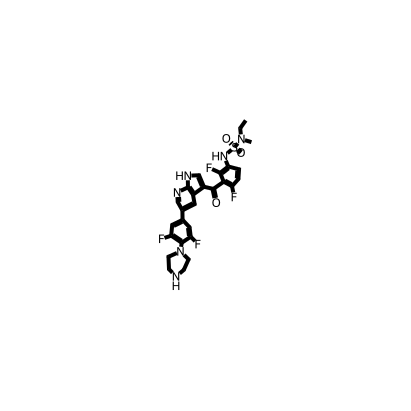 CCN(C)S(=O)(=O)Nc1ccc(F)c(C(=O)c2c[nH]c3ncc(-c4cc(F)c(N5CCNCC5)c(F)c4)cc23)c1F